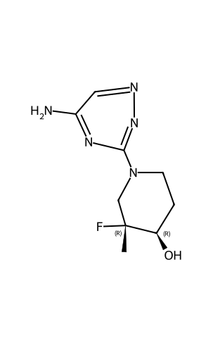 C[C@@]1(F)CN(c2nncc(N)n2)CC[C@H]1O